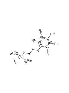 CO[Si](C)(CCCCc1c(F)c(F)c(F)c(F)c1F)OC